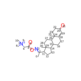 CC(=NOC(=O)C[N+](C)(C)C)C1CCC2C3CCC4=CC(=O)CCC4(C)C3CCC12C